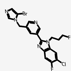 FCCCn1c(-c2cncc(Cn3cncc3Br)c2)nc2cc(F)c(Cl)cc21